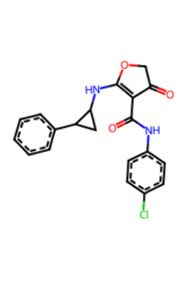 O=C1COC(NC2CC2c2ccccc2)=C1C(=O)Nc1ccc(Cl)cc1